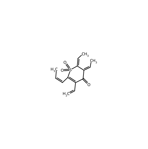 C=CC1=C(/C=C\C)S(=O)(=O)C(=C/C)/C(=C\C)C1=O